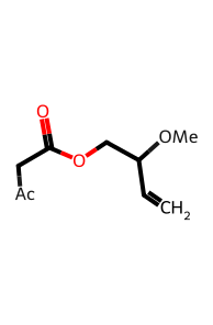 C=CC(COC(=O)CC(C)=O)OC